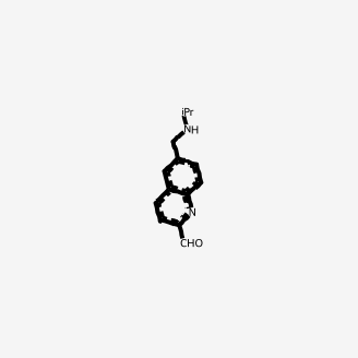 CC(C)NCc1ccc2nc(C=O)ccc2c1